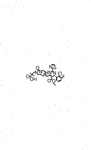 CCOC(=O)C1=C(CN2CCN3C(=O)N(CC(C)(C)C(=O)O)CC3C2)NC(c2nccs2)=N[C@H]1c1cccc(F)c1Cl